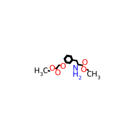 CCOC(=O)COc1cccc(CC(N)C(=O)OCC)c1